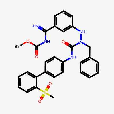 CC(C)OC(=O)NC(=N)c1cccc(NN(Cc2ccccc2)C(=O)Nc2ccc(-c3ccccc3S(C)(=O)=O)cc2)c1